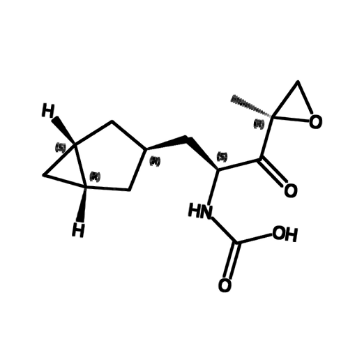 C[C@]1(C(=O)[C@H](C[C@H]2C[C@@H]3C[C@@H]3C2)NC(=O)O)CO1